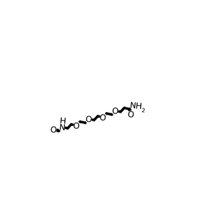 NC(=O)CCOCCOCCOCCOCCNC=O